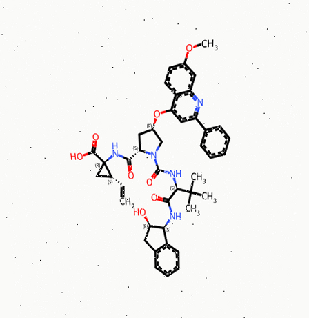 C=C[C@@H]1C[C@]1(NC(=O)[C@@H]1C[C@@H](Oc2cc(-c3ccccc3)nc3cc(OC)ccc23)CN1C(=O)N[C@H](C(=O)N[C@H]1c2ccccc2C[C@H]1O)C(C)(C)C)C(=O)O